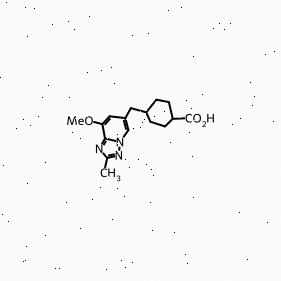 COc1cc(CC2CCC(C(=O)O)CC2)cn2nc(C)nc12